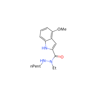 CCCCCNN(CC)C(=O)c1cc2c(OC)cccc2[nH]1